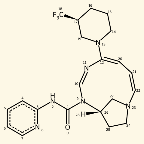 O=C(Nc1ccccn1)N1C=NC(N2CCC[C@H](C(F)(F)F)C2)=CC=CN2CC[C@H]1C2